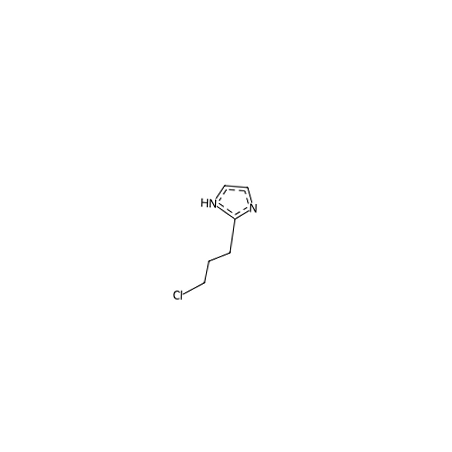 ClCCCc1ncc[nH]1